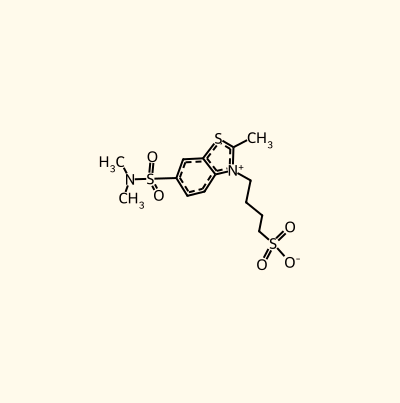 Cc1sc2cc(S(=O)(=O)N(C)C)ccc2[n+]1CCCCS(=O)(=O)[O-]